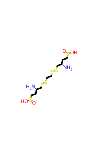 N[C@@H](CCS(=O)O)CSSCCSSC[C@@H](N)CCS(=O)O